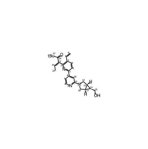 C=Cc1ccc(-c2ccnc(N3C[C@@H]4[C@@H](CO)[C@@H]4C3)c2)nc1/C(=C\C)C(=O)C(C)(C)C